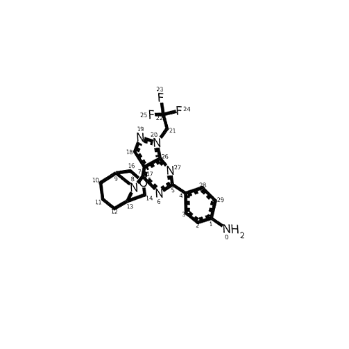 Nc1ccc(-c2nc(N3C4CCCC3COC4)c3cnn(CC(F)(F)F)c3n2)cc1